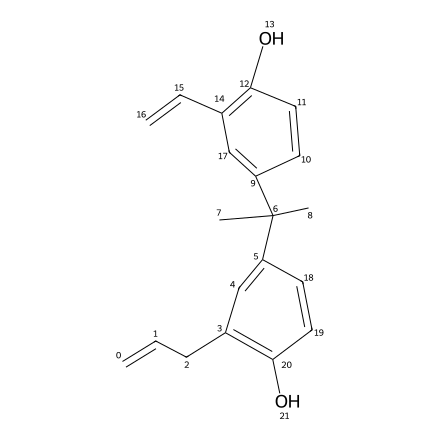 C=CCc1cc(C(C)(C)c2ccc(O)c(C=C)c2)ccc1O